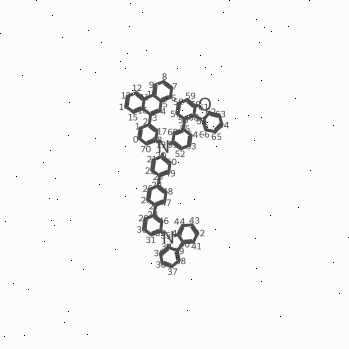 c1cc(-c2cc3ccccc3c3ccccc23)cc(N(c2ccc(-c3ccc(-c4cccc(-n5c6ccccc6c6ccccc65)c4)cc3)cc2)c2cccc(-c3cccc4oc5ccccc5c34)c2)c1